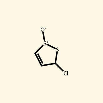 [O-][S+]1C=CC(Cl)S1